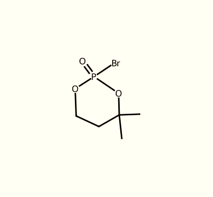 CC1(C)CCOP(=O)(Br)O1